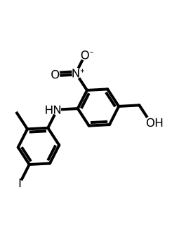 Cc1cc(I)ccc1Nc1ccc(CO)cc1[N+](=O)[O-]